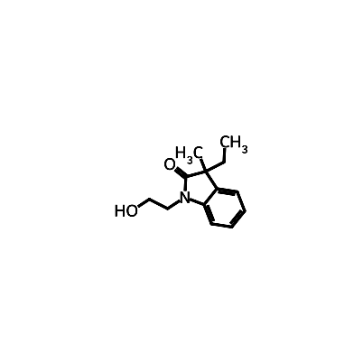 CCC1(C)C(=O)N(CCO)c2ccccc21